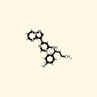 CCCC(Nc1cc(-c2cnn3cccnc23)ncn1)c1ccc(F)cc1